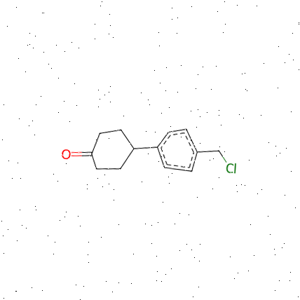 O=C1CCC(c2ccc(CCl)cc2)CC1